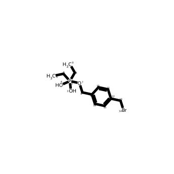 CCP(O)(O)(CC)OCc1ccc(CBr)cc1